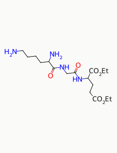 CCOC(=O)CCC(NC(=O)CNC(=O)C(N)CCCCN)C(=O)OCC